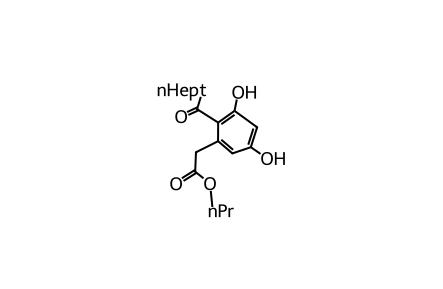 CCCCCCCC(=O)c1c(O)cc(O)cc1CC(=O)OCCC